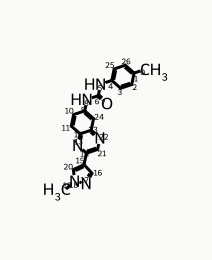 Cc1ccc(NC(=O)Nc2ccc3nc(-c4cnn(C)c4)cnc3c2)cc1